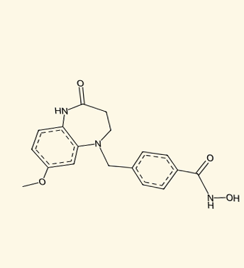 COc1ccc2c(c1)N(Cc1ccc(C(=O)NO)cc1)CCC(=O)N2